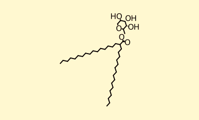 CCCCCCCCCCCCCCCCC(CCCCCCCCCCCCCCCC)C(=O)OCC1OCC(O)C(O)[C@@H]1O